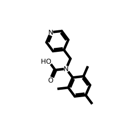 Cc1cc(C)c(N(Cc2ccncc2)C(=O)O)c(C)c1